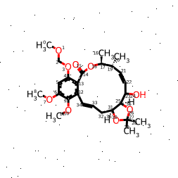 COCOc1cc(OC)c(OC)c2c1C(=O)O[C@@H](C)[C@H](C)/C=C\C(O)[C@H]1OC(C)(C)O[C@H]1C/C=C/2